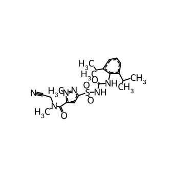 CC(C)c1cccc(C(C)C)c1NC(=O)NS(=O)(=O)c1cc(C(=O)N(C)CC#N)n(C)n1